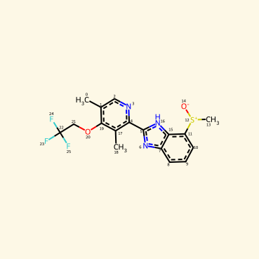 Cc1cnc(-c2nc3cccc([S+](C)[O-])c3[nH]2)c(C)c1OCC(F)(F)F